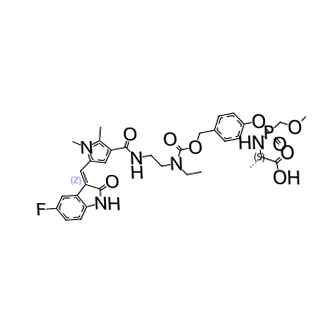 CCN(CCNC(=O)c1cc(/C=C2\C(=O)Nc3ccc(F)cc32)n(C)c1C)C(=O)OCc1ccc(OP(=O)(COC)N[C@@H](C)C(=O)O)cc1